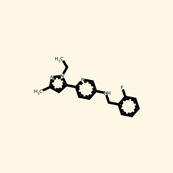 CCn1nc(C)cc1-c1ccc(NCc2ccccc2F)cn1